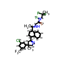 C=C(NCC(=S)N(F)CC(C)(F)F)c1ccc(C2=NCC(c3cc(Cl)cc(C(F)(F)F)c3)(C(F)(F)F)C2)c2ccccc12